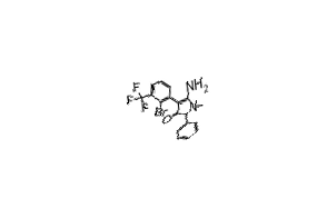 CN1C(N)=C(c2cccc(C(F)(F)F)c2Br)C(=O)C1c1ccccc1